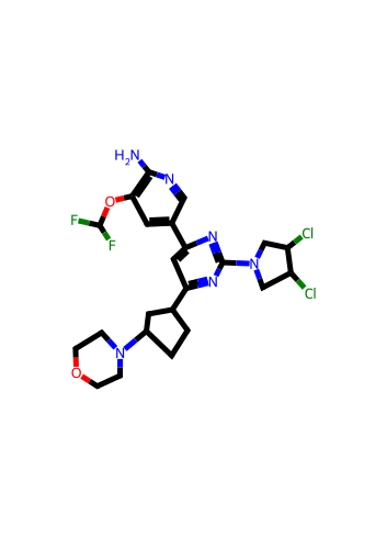 Nc1ncc(-c2cc(C3CCC(N4CCOCC4)C3)nc(N3CC(Cl)C(Cl)C3)n2)cc1OC(F)F